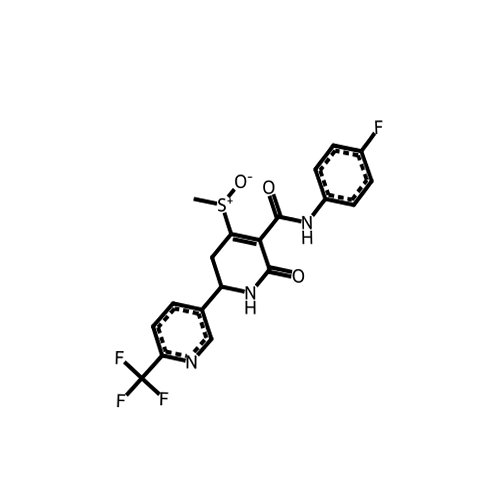 C[S+]([O-])C1=C(C(=O)Nc2ccc(F)cc2)C(=O)NC(c2ccc(C(F)(F)F)nc2)C1